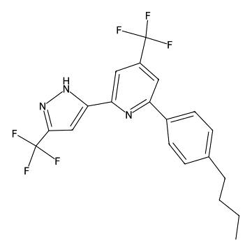 CCCCc1ccc(-c2cc(C(F)(F)F)cc(-c3cc(C(F)(F)F)n[nH]3)n2)cc1